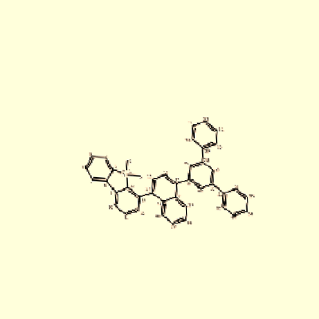 C[Si]1(C)c2ccccc2-c2cccc(-c3ccc(-c4cc(-c5ccccc5)cc(-c5ccccc5)c4)c4ccccc34)c21